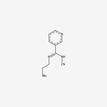 CC(C)(C)CC/N=C(\NC#N)c1cccnc1